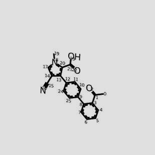 CC(=O)c1ccccc1-c1ccc(-c2c(C#N)cn(C)c2C(=O)O)cc1